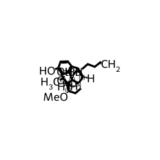 C=CCCN1CC[C@]23c4c5ccc(O)c4O[C@H]2[C@]2(OC)CC[C@@]3(C[C@@H]2[C@](C)(O)C(C)(C)C)[C@H]1C5